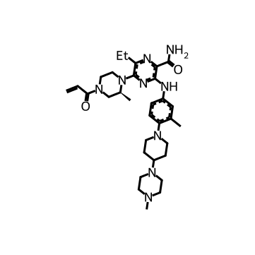 C=CC(=O)N1CCN(c2nc(Nc3ccc(N4CCC(N5CCN(C)CC5)CC4)c(C)c3)c(C(N)=O)nc2CC)[C@@H](C)C1